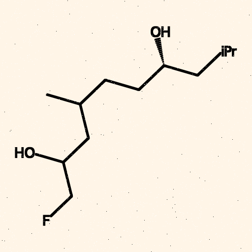 CC(C)C[C@@H](O)CCC(C)CC(O)CF